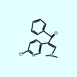 CN(C)/C=C(/C(=O)c1ccccc1)c1ccc(Cl)nc1